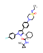 N#CC1(NC(=O)[C@@H]2CCCC[C@H]2c2nn(-c3ccc(F)cc3)cc2-c2ccc(N3CCS(=O)(=NCC(F)(F)F)CC3)cc2)CC1